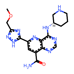 COCc1n[nH]c(-c2cc(C(N)=O)c3ncnc(N[C@H]4CCCNC4)c3n2)n1